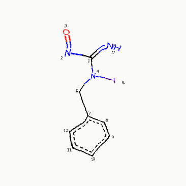 N=C(N=O)N(I)Cc1ccccc1